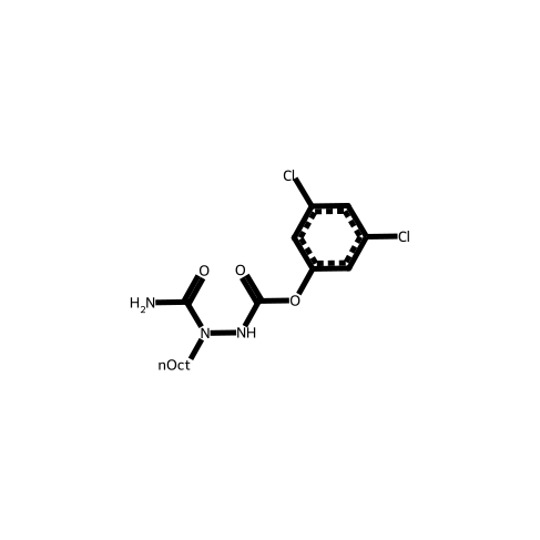 CCCCCCCCN(NC(=O)Oc1cc(Cl)cc(Cl)c1)C(N)=O